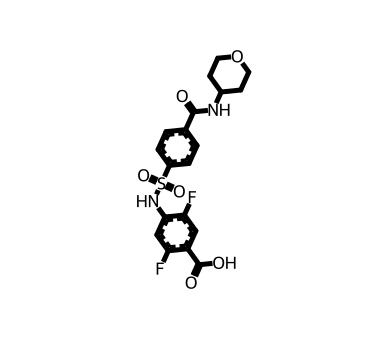 O=C(NC1CCOCC1)c1ccc(S(=O)(=O)Nc2cc(F)c(C(=O)O)cc2F)cc1